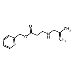 C=C(C)CNCCC(=O)OCc1ccccc1